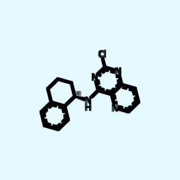 Clc1nc(N[C@@H]2CCCc3ccccc32)c2ncccc2n1